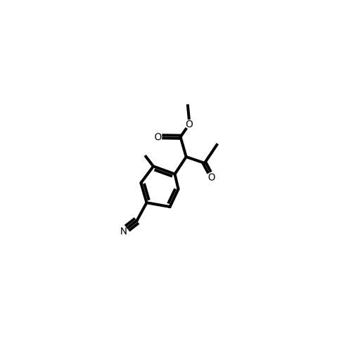 COC(=O)C(C(C)=O)c1ccc(C#N)cc1C